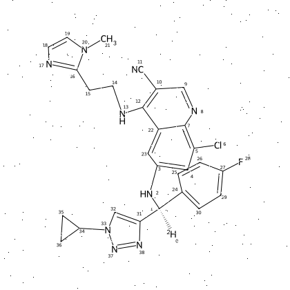 [2H][C@](Nc1cc(Cl)c2ncc(C#N)c(NCCc3nccn3C)c2c1)(c1ccc(F)cc1)c1cn(C2CC2)nn1